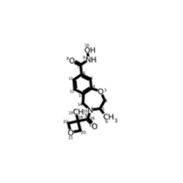 CC1COc2cc(C(=O)NO)ccc2CN1C(=O)C1(C)COC1